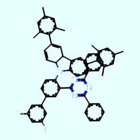 Cc1cc(C)c(C2=CC3c4cc(-c5c(C)cc(C)cc5C)ccc4N(c4ccc(-c5cc(F)cc(F)c5)cc4-c4nc(-c5ccccc5)nc(-c5ccccc5)n4)C3C=C2)c(C)c1